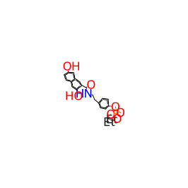 CCOP(=O)(OCC)Oc1ccc(CCNC(=O)c2cc3cc(O)ccc3cc2O)cc1